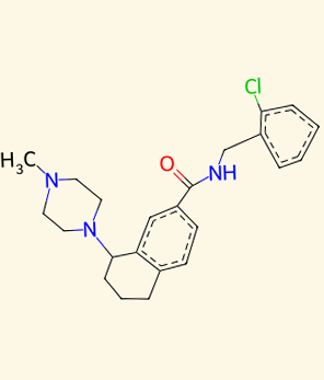 CN1CCN(C2CCCc3ccc(C(=O)NCc4ccccc4Cl)cc32)CC1